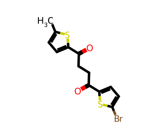 Cc1ccc(C(=O)CCC(=O)c2ccc(Br)s2)s1